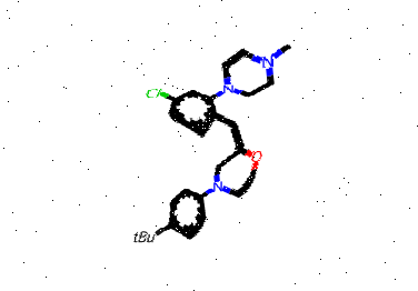 CN1CCN(c2cc(Cl)ccc2C=C2CN(c3ccc(C(C)(C)C)cc3)CCO2)CC1